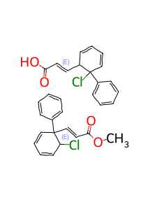 COC(=O)/C=C/C1(c2ccccc2)C=CC=CC1Cl.O=C(O)/C=C/C1C=CC=CC1(Cl)c1ccccc1